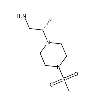 C[C@@H](CN)N1CCN(S(C)(=O)=O)CC1